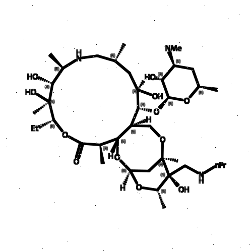 CCCNC[C@]1(O)[C@H](C)O[C@@H]2C[C@@]1(C)OC[C@H]1[C@H](O2)[C@@H](C)C(=O)O[C@H](CC)[C@@](C)(O)[C@H](O)[C@@H](C)NC[C@H](C)C[C@@](C)(O)[C@@H]1O[C@@H]1O[C@H](C)C[C@H](NC)[C@H]1O